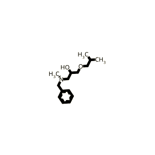 CC(C)COCC(O)CN(C)Cc1ccccc1